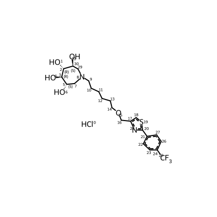 Cl.O[C@H]1[C@H](O)[C@@H](O)CN(CCCCCCOCc2csc(-c3ccc(C(F)(F)F)cc3)n2)C[C@@H]1O